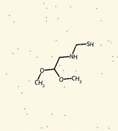 COC(CNCS)OC